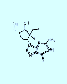 Nc1nc2c(ncn2[C@@H]2O[C@H](CO)C(O)[C@]2(F)CF)c(=S)[nH]1